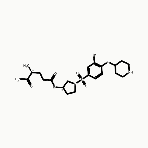 C[C@@H](C[CH]C(=O)N[C@@H]1CCN(S(=O)(=O)c2ccc(OC3CCNCC3)c(Br)c2)C1)C(N)=O